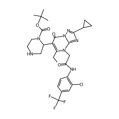 CCc1c(C2CNCCN2C(=O)OC(C)(C)C)c(=O)n2nc(C3CC3)nc2n1CC(=O)Nc1ccc(C(F)(F)F)cc1Cl